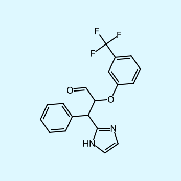 O=CC(Oc1cccc(C(F)(F)F)c1)C(c1ccccc1)c1ncc[nH]1